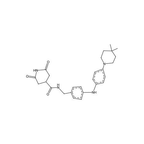 CC1(C)CCN(c2ccc(Nc3ccc(CNC(=O)C4CC(=O)NC(=O)C4)cc3)cc2)CC1